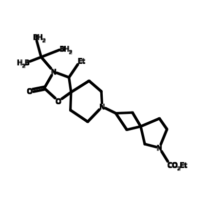 BC(B)(B)N1C(=O)OC2(CCN(C3CC4(CCN(C(=O)OCC)C4)C3)CC2)C1CC